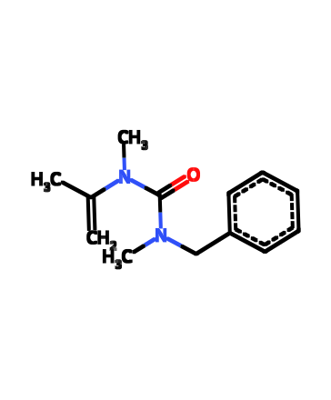 C=C(C)N(C)C(=O)N(C)Cc1ccccc1